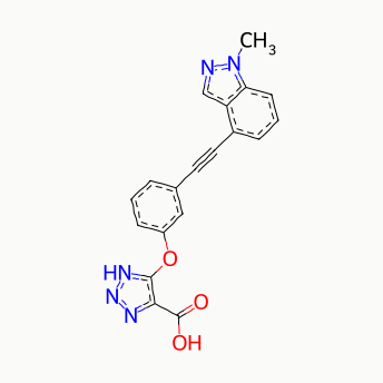 Cn1ncc2c(C#Cc3cccc(Oc4[nH]nnc4C(=O)O)c3)cccc21